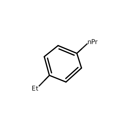 CCCc1ccc(CC)cc1